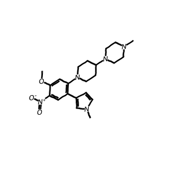 COc1cc(N2CCC(N3CCN(C)CC3)CC2)c(-c2ccn(C)c2)cc1[N+](=O)[O-]